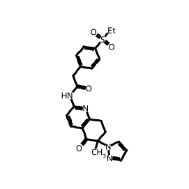 CCS(=O)(=O)c1ccc(CC(=O)Nc2ccc3c(n2)CCC(C)(n2cccn2)C3=O)cc1